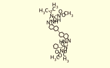 CCCN(Cc1nc2ccc3cc(-c4ccc5c(ccc6nc(CN(C(=O)CNC(=O)OC)C7C(C)[C@H]7C)[nH]c65)c4)ccc3c2[nH]1)C(=O)[C@H](NC(=O)OC)c1ccccc1